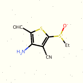 CC[S+]([O-])c1sc(C=O)c(N)c1C#N